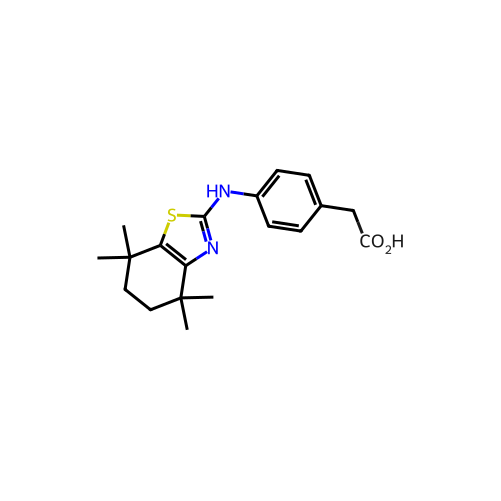 CC1(C)CCC(C)(C)c2sc(Nc3ccc(CC(=O)O)cc3)nc21